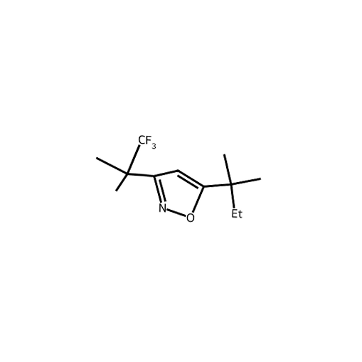 CCC(C)(C)c1cc(C(C)(C)C(F)(F)F)no1